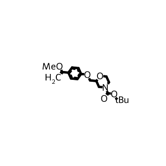 C=C(OC)c1ccc(OCC2CN(C(=O)OC(C)(C)C)CCO2)cc1